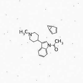 CC(=O)n1cc(C2CCN(C)CC2)c2ccccc21.c1cc2cc-2c1